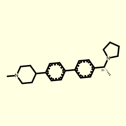 C[C@H](c1ccc(-c2ccc(C3CCN(C)CC3)cc2)cc1)N1CCCC1